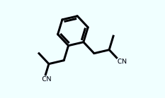 CC(C#N)Cc1ccccc1CC(C)C#N